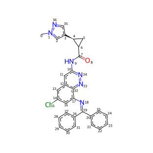 Cn1cc([C@H]2CC2C(=O)Nc2cc3cc(Cl)cc(N=C(c4ccccc4)c4ccccc4)c3nn2)cn1